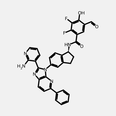 Nc1ncccc1-c1nc2ccc(-c3ccccc3)nc2n1-c1ccc2c(c1)CC[C@@H]2NC(=O)c1cc(C=O)c(O)c(F)c1F